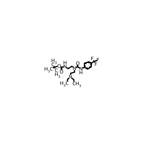 CCN(CC)CCN(CCNC(=O)OC(C)(C)C)C(=O)Nc1ccc(C(F)(F)F)cc1